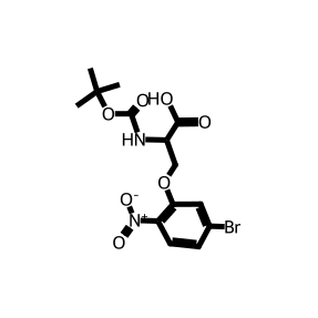 CC(C)(C)OC(=O)NC(COc1cc(Br)ccc1[N+](=O)[O-])C(=O)O